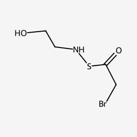 O=C(CBr)SNCCO